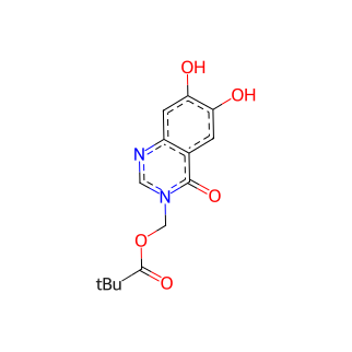 CC(C)(C)C(=O)OCn1cnc2cc(O)c(O)cc2c1=O